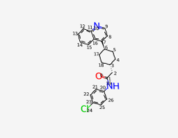 O=C(C[C@H]1CC[C@H](c2ccnc3ccccc32)CC1)Nc1ccc(Cl)cc1